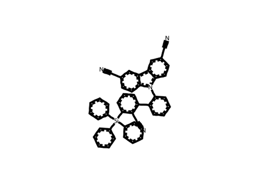 N#Cc1ccc2c(c1)c1cc(C#N)ccc1n2-c1ccccc1-c1cccc([Si](c2ccccc2)(c2ccccc2)c2ccccc2)c1C#N